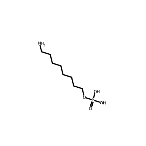 NCCCCCCCCOP(=O)(O)O